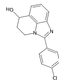 OC1CCn2c(-c3ccc(Cl)cc3)nc3cccc1c32